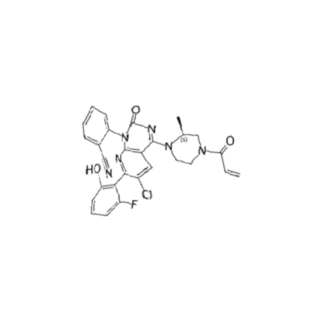 C=CC(=O)N1CCN(c2nc(=O)n(-c3ccccc3C#N)c3nc(-c4c(O)cccc4F)c(Cl)cc23)[C@@H](C)C1